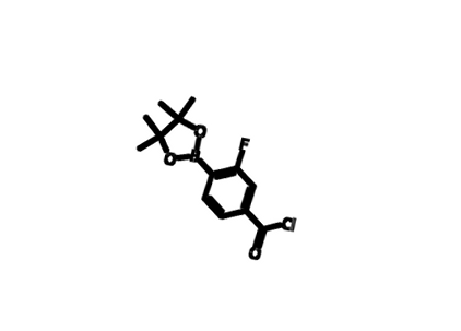 CC1(C)OB(c2ccc(C(=O)Cl)cc2F)OC1(C)C